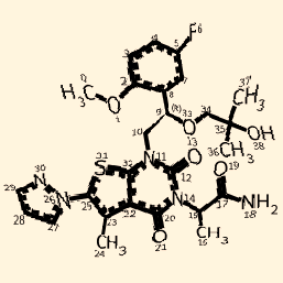 COc1ccc(F)cc1[C@H](Cn1c(=O)n(C(C)C(N)=O)c(=O)c2c(C)c(-n3cccn3)sc21)OCC(C)(C)O